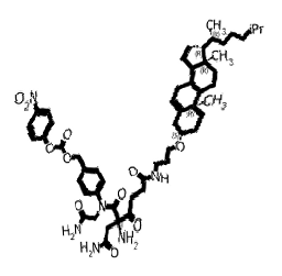 CC(C)CCC[C@@H](C)[C@H]1CCC2C3CC=C4C[C@@H](OCCCNC(=O)CCC(=O)[C@](N)(CC(N)=O)C(=O)N(CC(N)=O)c5ccc(COC(=O)Oc6ccc([N+](=O)[O-])cc6)cc5)CC[C@]4(C)C3CC[C@@]21C